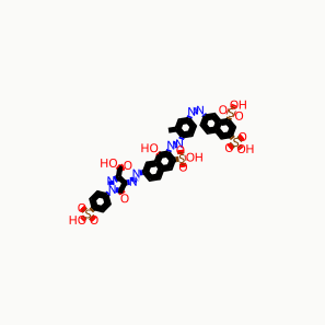 Cc1cc(/N=N\c2ccc3cc(S(=O)(=O)O)cc(S(=O)(=O)O)c3c2)ccc1/N=N/c1c(S(=O)(=O)O)cc2ccc(/N=N/C3C(=O)N(c4ccc(S(=O)(=O)O)cc4)N=C3C(=O)O)cc2c1O